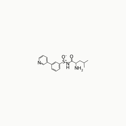 CC(C)CC(N)C(=O)N[S+]([O-])c1cccc(-c2cccnc2)c1